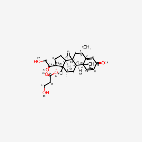 C[C@H]1C[C@@H]2[C@H](CC[C@@]3(C)[C@H]2CC[C@]3(OC(=O)CCO)C(=O)CO)[C@@]2(C)C=CC(=O)C=C12